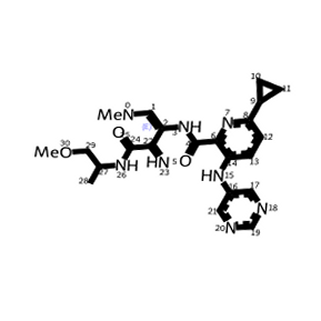 CN/C=C(/NC(=O)c1nc(C2CC2)ccc1Nc1cncnc1)C(=N)C(=O)NC(C)COC